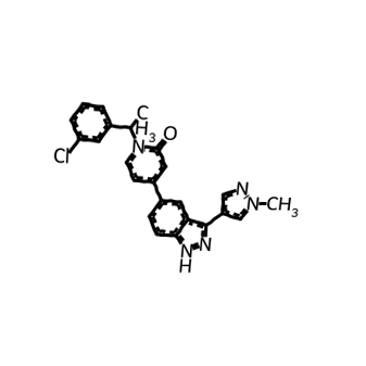 CC(c1cccc(Cl)c1)n1ccc(-c2ccc3[nH]nc(-c4cnn(C)c4)c3c2)cc1=O